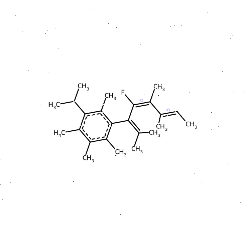 C/C=C(C)/C(C)=C(/F)C(=C(C)C)c1c(C)c(C)c(C)c(C(C)C)c1C